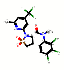 Cc1cc(C(F)(F)F)cc(N2[C@H](C(=O)N(C)c3ccc(F)c(Br)c3F)CCS2(=O)=O)n1